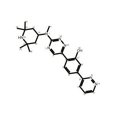 CN(c1ncc(-c2ccc(-c3cccnn3)cc2O)nn1)C1CC(C)(C)NC(C)(C)C1